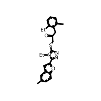 CCc1cccc(C)c1CC(=O)CSc1nnc(-c2cc3cc(C)ccc3o2)n1CC